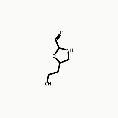 CCCC1CNC(C=O)O1